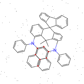 CC1(C)c2c(N(c3ccccc3)c3ccc4ccccc4c3)cccc2C2(c3ccccc3-c3ccccc32)c2cccc(N(c3ccccc3)c3ccc4ccccc4c3)c21